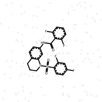 O=C(Nc1ccc2c(c1)N(S(=O)(=O)c1ccc(F)cc1F)CCC2)c1c(F)cccc1F